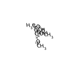 CCOCCO[Si](C)(OC(C)=O)OC(C)=O